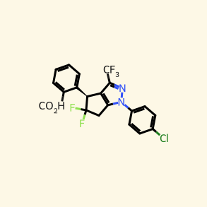 O=C(O)c1ccccc1[C@H]1c2c(C(F)(F)F)nn(-c3ccc(Cl)cc3)c2CC1(F)F